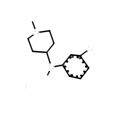 CN1CCC(N(C)c2cccc(N)c2)CC1.Cl.Cl.Cl